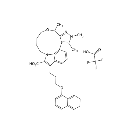 Cc1c2c(nn1C)C(C)OCCCCn1c(C(=O)O)c(CCCOc3cccc4ccccc34)c3cccc-2c31.O=C(O)C(F)(F)F